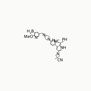 Bc1cc(CN2C3CN(c4ccc(C5=CC(N6CC(C)(C#N)C6)=CN/C5=C(/C#N)C=P)cn4)CC32)cnc1OC